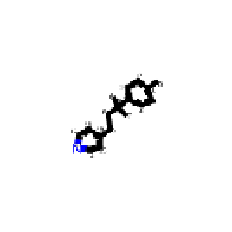 Cc1ccc(C(C)(C)CCc2ccncc2)cc1